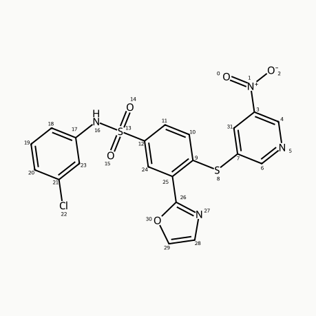 O=[N+]([O-])c1cncc(Sc2ccc(S(=O)(=O)Nc3cccc(Cl)c3)cc2-c2ncco2)c1